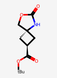 CC(C)(C)OC(=O)[C@H]1C[C@@]2(COC(=O)N2)C1